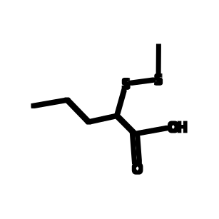 CCCC(SSC)C(=O)O